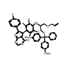 C=CCOCC(COC(c1ccccc1)(c1ccc(OC)cc1)c1ccc(OC)cc1)Oc1c(Cl)c(C)c(-c2c(-c3ccc(F)cc3)sc3ncnc(Cl)c23)c(C)c1Cl